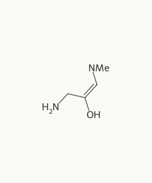 CN/C=C(/O)CN